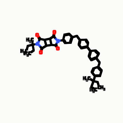 CCC(C)(CC)c1ccc(Cc2ccc(-c3ccc(Cc4ccc(N5C(=O)C6C(C5=O)C5C(=O)N(C(C)(CC)CC)C(=O)C65)cc4)cc3)cc2)cc1